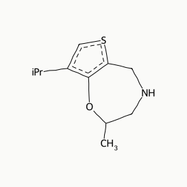 CC1CNCc2scc(C(C)C)c2O1